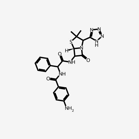 CC1(C)S[C@H]2C(NC(=O)C(NC(=O)c3ccc(N)cc3)c3ccccc3)C(=O)N2C1c1nnn[nH]1